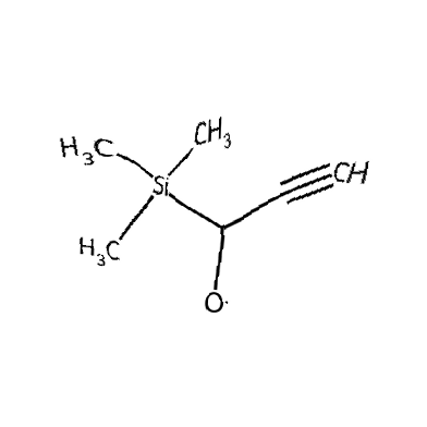 C#CC([O])[Si](C)(C)C